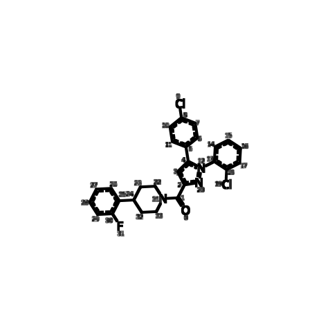 O=C(c1[c]c(-c2ccc(Cl)cc2)n(-c2ccccc2Cl)n1)N1CCC(c2ccccc2F)CC1